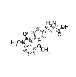 COc1cccc2c1n(-c1ccc(CC[C@H](N)C(=O)O)cc1)c(=O)n2C